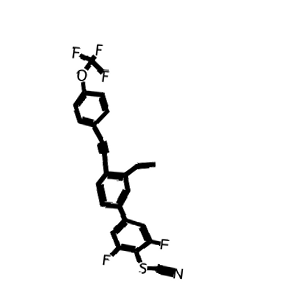 CCc1cc(-c2cc(F)c(SC#N)c(F)c2)ccc1C#Cc1ccc(OC(F)(F)F)cc1